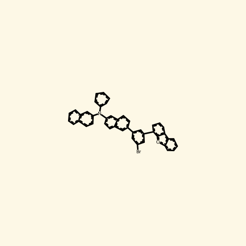 Brc1cc(-c2ccc3cc(N(c4ccccc4)c4ccc5ccccc5c4)ccc3c2)cc(-c2cccc3c2oc2ccccc23)c1